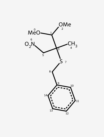 COC(OC)C(C)(C[N+](=O)[O-])SCc1ccccc1